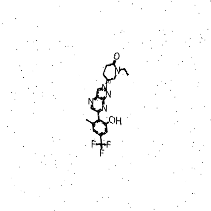 CCN1C[C@@H](n2cc3ncc(-c4c(C)cc(C(F)(F)F)cc4O)nc3n2)CCC1=O